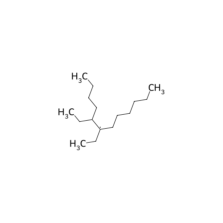 CCCCCC[C](CC)C(CC)CCCC